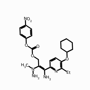 CCc1nc(/C(N)=C(\COC(=O)Oc2ccc([N+](=O)[O-])cc2)N(C)N)ccc1OC1CCCCC1